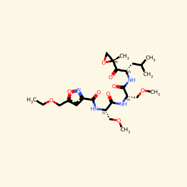 CCOCc1cc(C(=O)N[C@@H](COC)C(=O)N[C@@H](COC)C(=O)N[C@@H](CC(C)C)C(=O)[C@@]2(C)CO2)no1